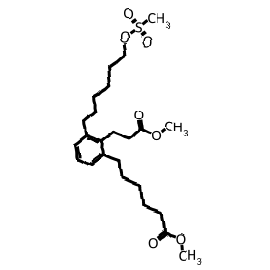 COC(=O)CCCCCc1cccc(CCCCCCOS(C)(=O)=O)c1CCC(=O)OC